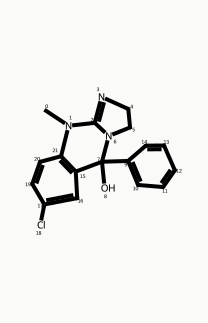 CN1C2=NCCN2C(O)(c2ccccc2)c2cc(Cl)ccc21